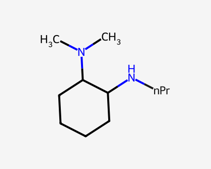 CCCNC1CCCCC1N(C)C